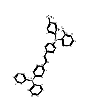 Cc1ccc(N(c2ccc(/C=C/c3ccc(N(c4ccccc4)c4ccccc4)cc3)cc2)c2ccccc2C)cc1